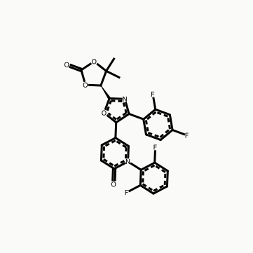 CC1(C)OC(=O)O[C@@H]1c1nc(-c2ccc(F)cc2F)c(-c2ccc(=O)n(-c3c(F)cccc3F)c2)o1